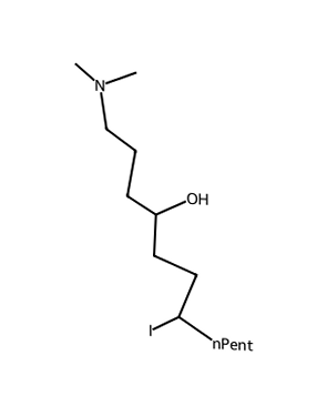 CCCCCC(I)CCC(O)CCCN(C)C